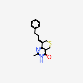 Cc1nc2c(c(=O)[nH]1)CSCC2=CCCc1ccccc1